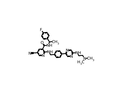 CC(NC(=O)c1cc(C#N)cnc1NCc1ccc(-c2cnc(NCCN(C)C)cn2)cc1)c1ccc(F)cc1